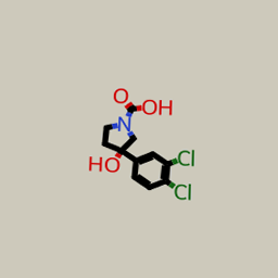 O=C(O)N1CCC(O)(c2ccc(Cl)c(Cl)c2)C1